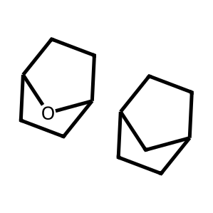 C1CC2CCC1C2.C1CC2CCC1O2